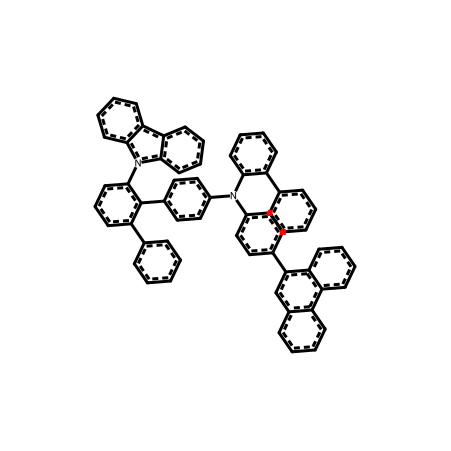 c1ccc(-c2ccccc2N(c2ccc(-c3c(-c4ccccc4)cccc3-n3c4ccccc4c4ccccc43)cc2)c2ccc(-c3cc4ccccc4c4ccccc34)cc2)cc1